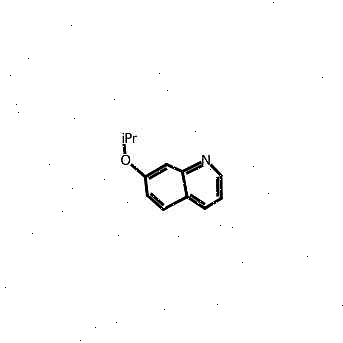 CC(C)Oc1ccc2cccnc2c1